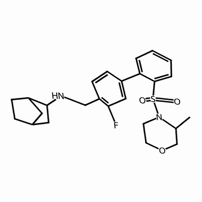 CC1COCCN1S(=O)(=O)c1ccccc1-c1ccc(CNC2CC3CCC2C3)c(F)c1